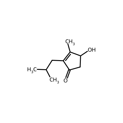 CC1=C(CC(C)C)C(=O)CC1O